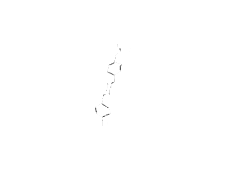 C=CCc1ccc(C=NN=Cc2ccc(CC)cc2)cc1